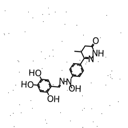 CC1CC(=O)NN=C1c1ccc(N(O)N=Cc2cc(O)c(O)cc2O)cc1